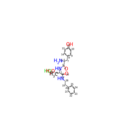 C[C@@H](NC(=O)[C@@H](N)Cc1ccc(O)cc1)C(=O)NCCc1ccccc1.Cl.O